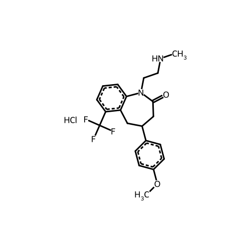 CNCCN1C(=O)CC(c2ccc(OC)cc2)Cc2c1cccc2C(F)(F)F.Cl